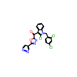 O=C(c1nnc(-c2ccnnc2)o1)c1c(Cl)n(Cc2ccc(Cl)cc2Cl)c2ccccc12